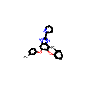 N#Cc1cccc(Oc2cc3[nH]c(-c4ccccn4)nc3cc2Oc2ccccc2C#N)c1